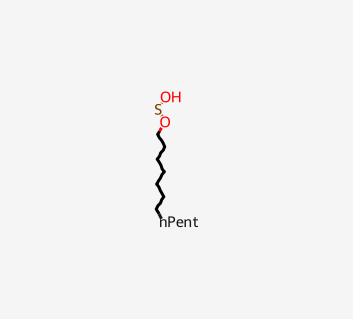 CCCCCCCCCCCCOSO